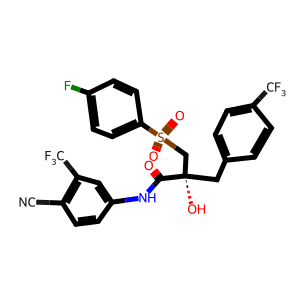 N#Cc1ccc(NC(=O)[C@](O)(Cc2ccc(C(F)(F)F)cc2)CS(=O)(=O)c2ccc(F)cc2)cc1C(F)(F)F